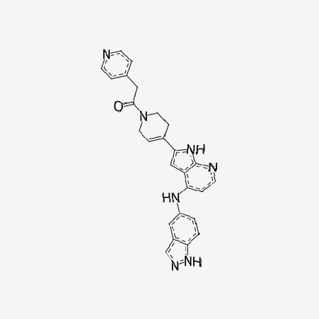 O=C(Cc1ccncc1)N1CC=C(c2cc3c(Nc4ccc5[nH]ncc5c4)ccnc3[nH]2)CC1